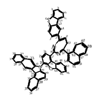 C1=C(c2ccc3sc4ccccc4c3c2)N=C(c2ccc(-n3c4cc5ccccc5cc4c4c5ccccc5ccc43)c3oc4ccccc4c23)N=C(c2cccc3ccccc23)C1